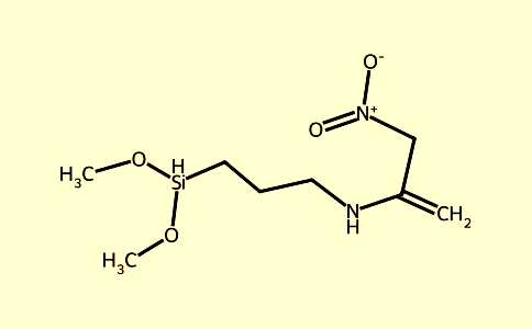 C=C(C[N+](=O)[O-])NCCC[SiH](OC)OC